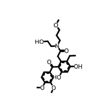 CCc1c(O)cc(O)c(C(=O)c2ccc(OC)c(OC)c2)c1CC(=O)N(CCO)CCCOC